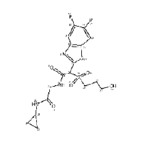 O=C(CNC(=O)C(c1nc2cc(F)c(Br)cc2s1)S(=O)(=O)CCCO)NC1CC1